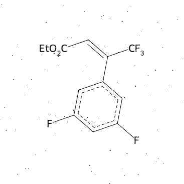 CCOC(=O)/C=C(\c1cc(F)cc(F)c1)C(F)(F)F